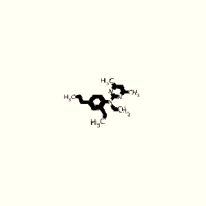 CCCc1ccc(N(CC)c2nc(C)cc(C)n2)c(CC)c1